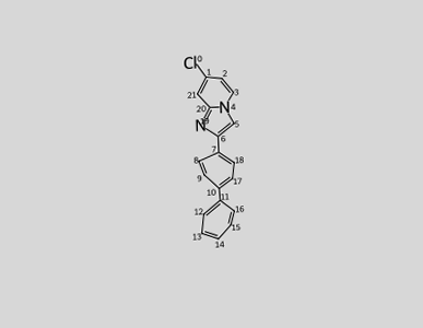 Clc1ccn2cc(-c3ccc(-c4ccccc4)cc3)nc2c1